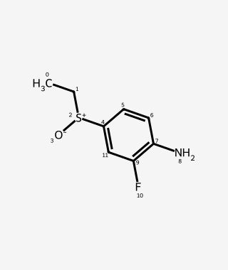 CC[S+]([O-])c1ccc(N)c(F)c1